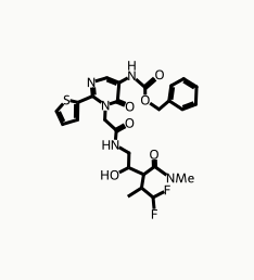 CNC(=O)C(C(O)CNC(=O)Cn1c(-c2cccs2)ncc(NC(=O)OCc2ccccc2)c1=O)C(C)C(F)F